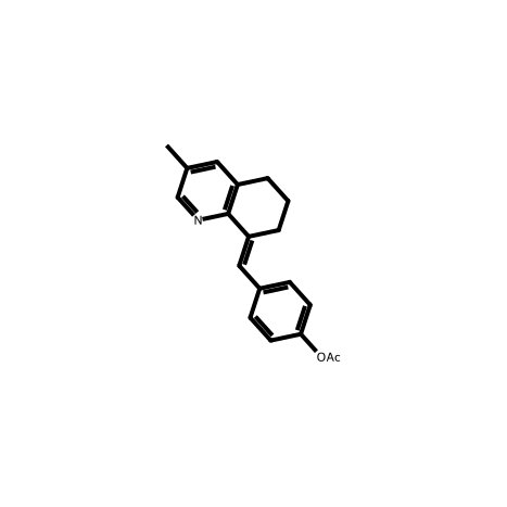 CC(=O)Oc1ccc(/C=C2\CCCc3cc(C)cnc32)cc1